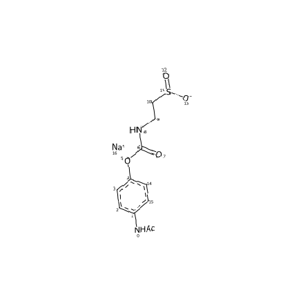 CC(=O)Nc1ccc(OC(=O)NCCS(=O)[O-])cc1.[Na+]